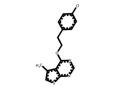 Cc1csc2ncnc(OCCc3ccc(Cl)cc3)c12